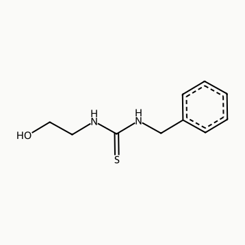 OCCNC(=S)NCc1ccccc1